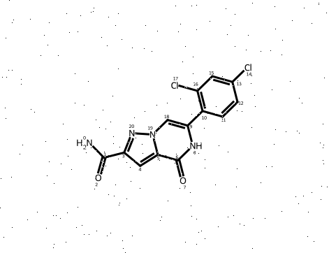 NC(=O)c1cc2c(=O)[nH]c(-c3ccc(Cl)cc3Cl)cn2n1